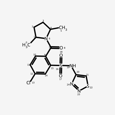 CC1CCC(C)N1C(=O)c1ccc(Cl)cc1S(=O)(=O)Nc1csnn1